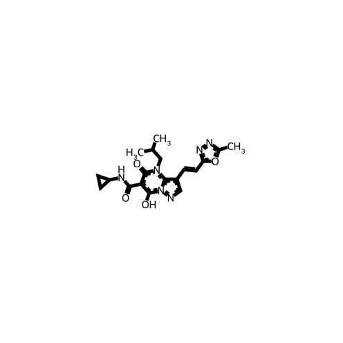 Cc1nnc(C=Cc2cnn3c(O)c(C(=O)NC4CC4)c(=O)n(CC(C)C)c23)o1